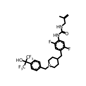 C=C(C)CNC(=O)Nc1cc(F)c(CC2CCN(Cc3ccc(C(O)(C(F)(F)F)C(F)(F)F)cc3)CC2)cc1F